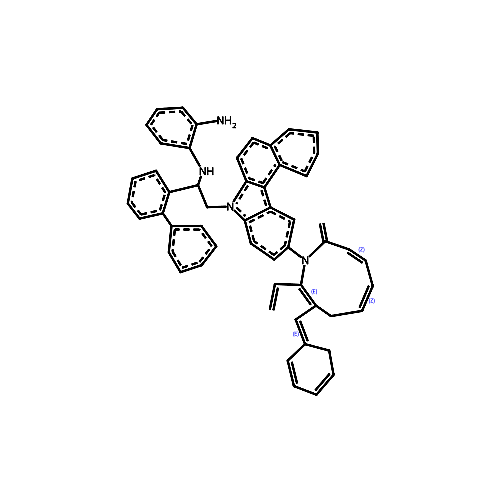 C=C/C1=C(\C=C2\C=CC=CC2)C/C=C\C=C/C(=C)N1c1ccc2c(c1)c1c3ccccc3ccc1n2CC(Nc1ccccc1N)c1ccccc1-c1ccccc1